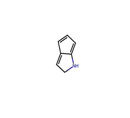 C1=CC2=CCNC2=C1